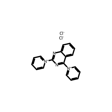 [Cl-].[Cl-].c1cc[n+](-c2nc(-[n+]3ccccc3)c3ccccc3n2)cc1